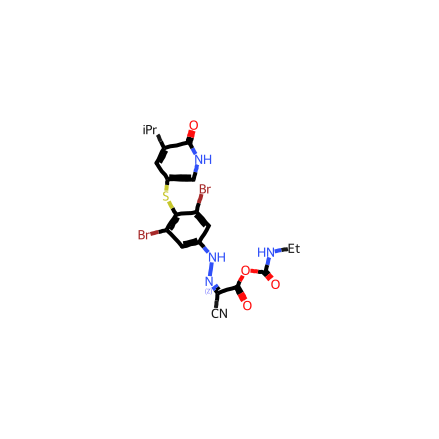 CCNC(=O)OC(=O)/C(C#N)=N\Nc1cc(Br)c(Sc2c[nH]c(=O)c(C(C)C)c2)c(Br)c1